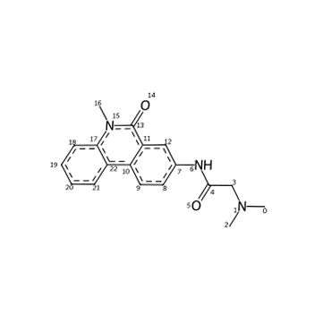 CN(C)CC(=O)Nc1ccc2c(c1)c(=O)n(C)c1ccccc21